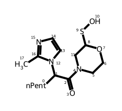 CCCCCC(C(=O)N1CCOC(SO)C1)n1c[c]nc1C